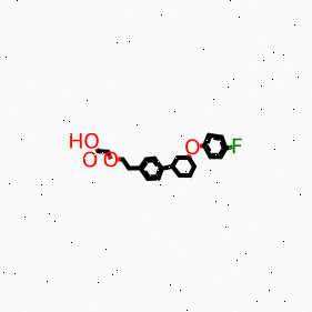 O=C(O)COCCc1ccc(C2CCCC(Oc3ccc(F)cc3)C2)cc1